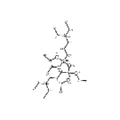 CCO[Si](CCCN(CC)CC)(OCC)O[Si](CCCN(CC)CC)(OCC)OCC